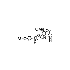 COc1ccc(-c2cc(Oc3ncnc4cc(OC(C)C5CCNCC5)c(OC)cc34)n[nH]2)cc1